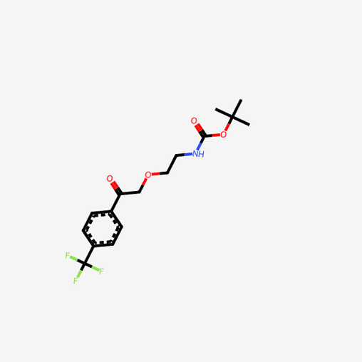 CC(C)(C)OC(=O)NCCOCC(=O)c1ccc(C(F)(F)F)cc1